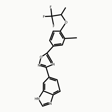 Cc1cc(-c2nc(-c3ccc4nc[nH]c4c3)no2)ccc1OC(C)C(F)(F)F